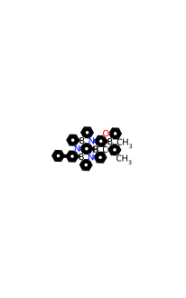 Cc1cc(C)c(B2c3ccccc3Oc3cc4c(cc32)B2c3ccccc3N3c5ccccc5B5c6ccc(-c7ccccc7)cc6N6c7ccccc7B7c8ccccc8N4c4c2c3c5c6c47)c(C)c1